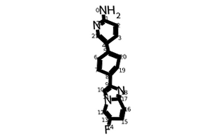 Nc1ccc(-c2ccc(-c3cn4cc(F)ccc4n3)cc2)cn1